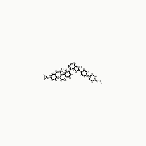 Cc1c(-c2ncnc3[nH]c(-c4ccc(N5CCN(C)CC5)cc4)cc23)cccc1N1N=Cc2cc(C3CC3)ccc2C1C=O